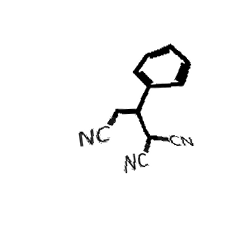 N#CCC(c1ccccc1)C(C#N)C#N